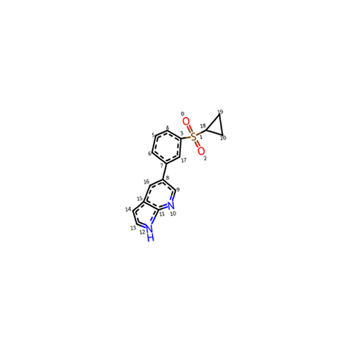 O=S(=O)(c1cccc(-c2cnc3[nH]ccc3c2)c1)C1CC1